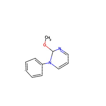 COC1N=CC=CN1c1cc[c]cc1